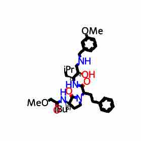 CC[C@H](C)[C@@]1(NC(=O)COC)CCN(C(CCc2ccccc2)C(=O)N[C@@H](CC(C)C)[C@H](O)CNCc2cccc(OC)c2)C1=O